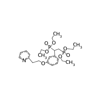 CCOP(=O)(CC(c1cccc(OCCc2ccccn2)c1)P(=O)(OCC)OCC)OCC